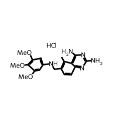 COc1cc(NCc2ccc3nc(N)nc(N)c3c2C)cc(OC)c1OC.Cl